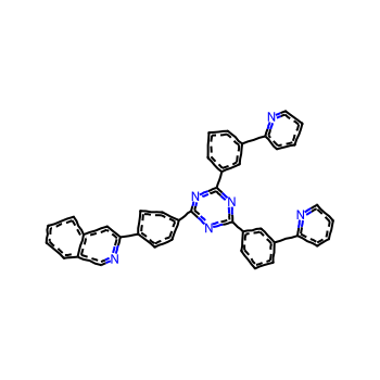 c1ccc(-c2cccc(-c3nc(-c4ccc(-c5cc6ccccc6cn5)cc4)nc(-c4cccc(-c5ccccn5)c4)n3)c2)nc1